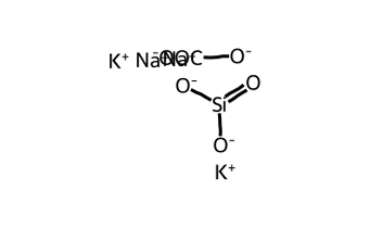 O=C([O-])[O-].O=[Si]([O-])[O-].[K+].[K+].[Na+].[Na+]